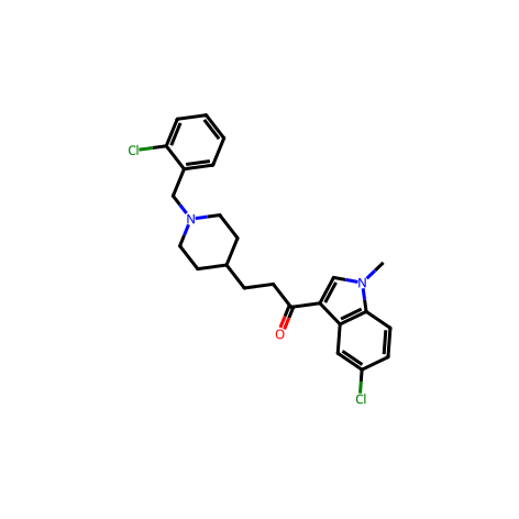 Cn1cc(C(=O)CCC2CCN(Cc3ccccc3Cl)CC2)c2cc(Cl)ccc21